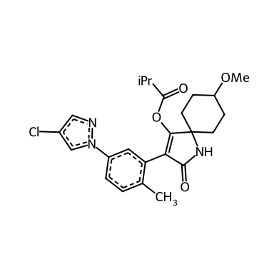 COC1CCC2(CC1)NC(=O)C(c1cc(-n3cc(Cl)cn3)ccc1C)=C2OC(=O)C(C)C